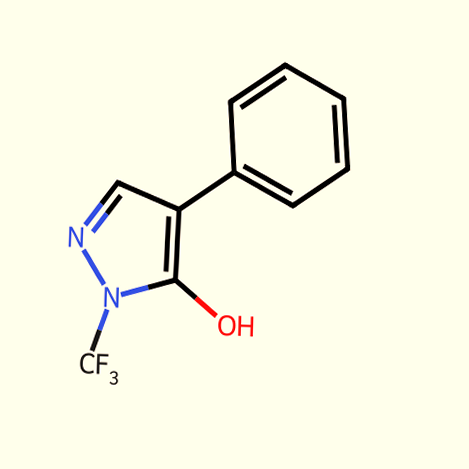 Oc1c(-c2ccccc2)cnn1C(F)(F)F